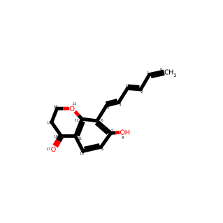 C=CC=CC=Cc1c(O)ccc2c1OCCC2=O